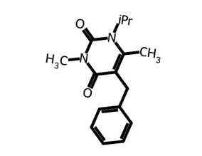 Cc1c(Cc2ccccc2)c(=O)n(C)c(=O)n1C(C)C